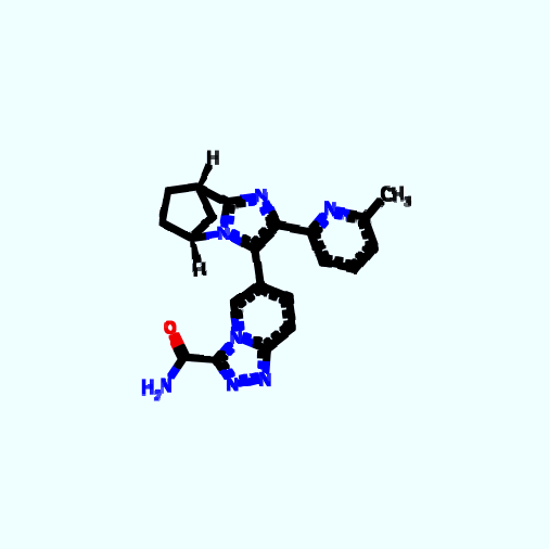 Cc1cccc(-c2nc3n(c2-c2ccc4nnc(C(N)=O)n4c2)[C@@H]2CC[C@H]3C2)n1